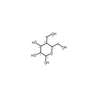 OCC1OC(O)C(O)C(O)C1CO